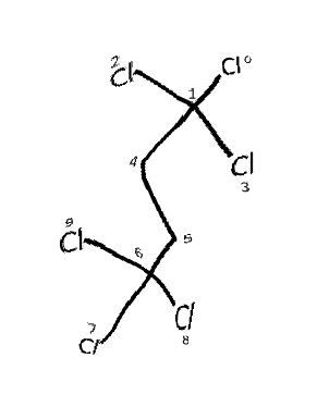 ClC(Cl)(Cl)CCC(Cl)(Cl)Cl